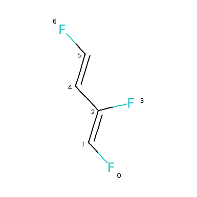 F/C=C(F)/C=C/F